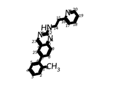 Cc1ccccc1-c1ccc2nc(NCCc3ccccn3)ncc2c1